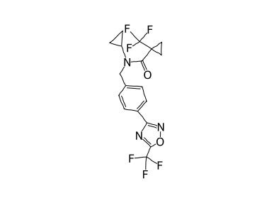 O=C(N(Cc1ccc(-c2noc(C(F)(F)F)n2)cc1)C1CC1)C1(C(F)(F)F)CC1